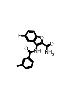 Cc1cccc(C(=O)Nc2c(C(N)=O)oc3ccc(F)cc23)c1